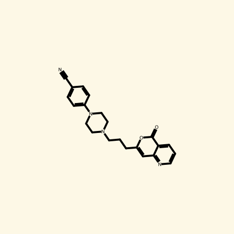 N#Cc1ccc(N2CCN(CCCc3cc4ncccc4c(=O)o3)CC2)cc1